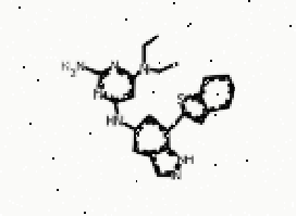 CCN(CC)c1cc(Nc2cc(-c3cc4ccccc4s3)c3[nH]ncc3c2)nc(N)n1